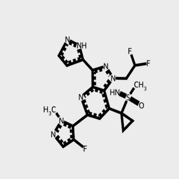 Cn1ncc(F)c1-c1cc(C2(S(C)(=N)=O)CC2)c2c(n1)c(-c1ccn[nH]1)nn2CC(F)F